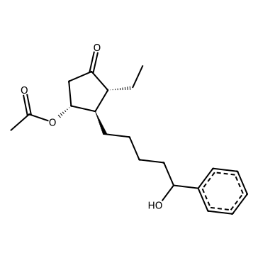 CC[C@H]1C(=O)C[C@@H](OC(C)=O)[C@@H]1CCCCC(O)c1ccccc1